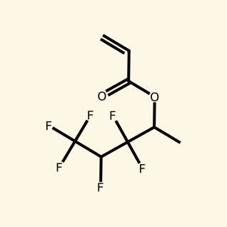 C=CC(=O)OC(C)C(F)(F)C(F)C(F)(F)F